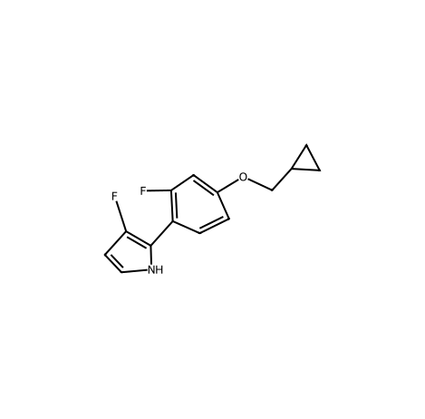 Fc1cc(OCC2CC2)ccc1-c1[nH]ccc1F